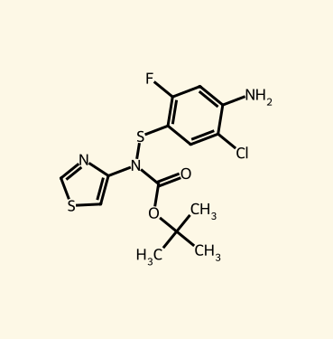 CC(C)(C)OC(=O)N(Sc1cc(Cl)c(N)cc1F)c1cscn1